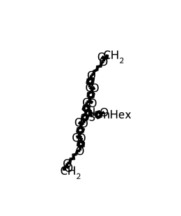 C=CC(=O)OCCCCCCOc1ccc(OC(=O)C2CCC(C(=O)Oc3ccc4c(c3)nc(Sc3ccc(OCCCCCC)cc3)c3cc(OC(=O)C5CCC(C(=O)Oc6ccc(OCCCCCCOC(=O)C=C)cc6)CC5)ccc34)CC2)cc1